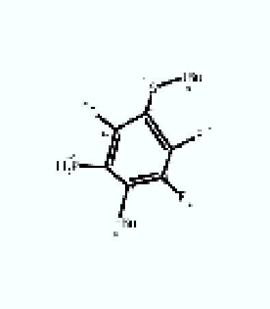 CC(C)(C)Sc1c(F)c(F)c(C(C)(C)C)c(P)c1F